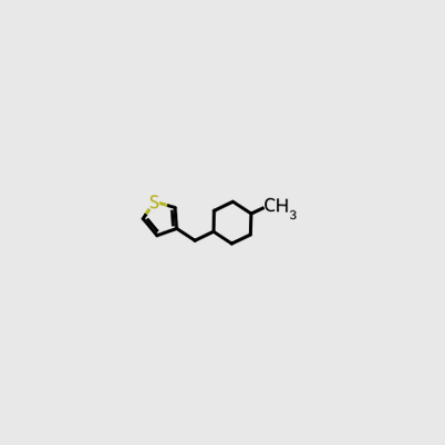 CC1CCC(Cc2ccsc2)CC1